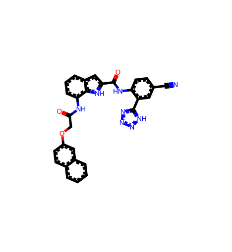 N#Cc1ccc(NC(=O)c2cc3cccc(NC(=O)COc4ccc5ccccc5c4)c3[nH]2)c(-c2nnn[nH]2)c1